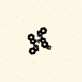 C1=C(n2nnc3ccccc32)[CH]([Hf+2][CH]2C(n3nnc4ccccc43)=Cc3ccccc32)c2ccccc21.[Cl-].[Cl-]